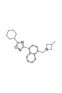 CC1CN(Cc2ccc(-c3noc(C4CCCCC4)n3)c3ccccc23)C1